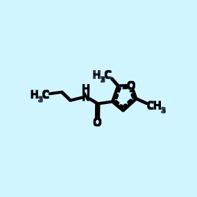 CCCNC(=O)c1cc(C)oc1C